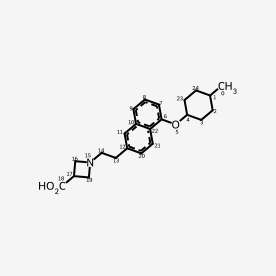 CC1CCC(Oc2cccc3cc(CCN4CC(C(=O)O)C4)ccc23)CC1